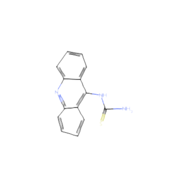 NC(=S)Nc1c2ccccc2nc2ccccc12